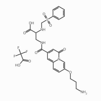 NCCCOc1ccc2cc(C(=O)NCC(NCS(=O)(=O)c3ccccc3)C(=O)O)cc(=O)n2c1.O=C(O)C(F)(F)F